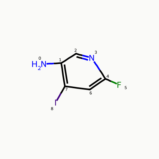 Nc1cnc(F)cc1I